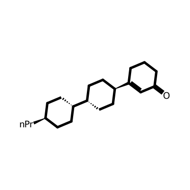 CCC[C@H]1CC[C@H]([C@H]2CC[C@H](C3=CC(=O)CCC3)CC2)CC1